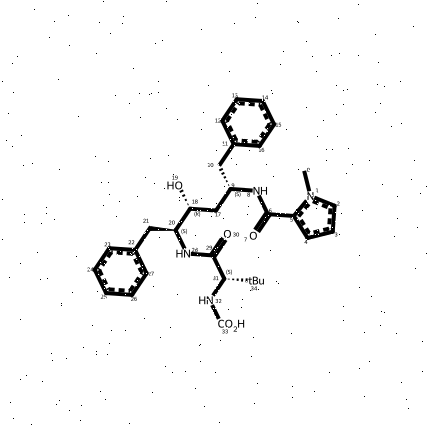 Cn1cccc1C(=O)N[C@@H](Cc1ccccc1)C[C@@H](O)[C@H](Cc1ccccc1)NC(=O)[C@@H](NC(=O)O)C(C)(C)C